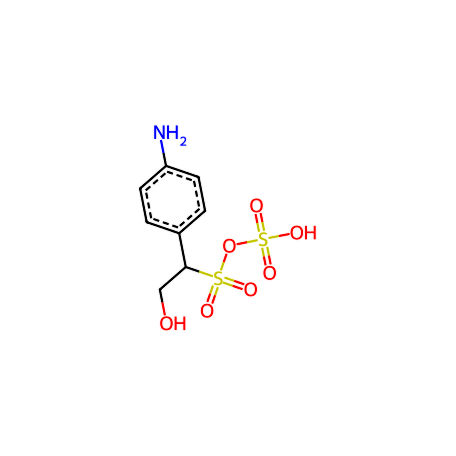 Nc1ccc(C(CO)S(=O)(=O)OS(=O)(=O)O)cc1